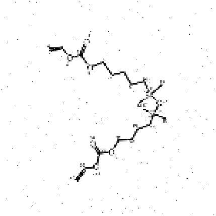 C=COC(=O)OCCCCC[Si](C)(C)O[Si](C)(C)CCCCOC(=O)OC=C